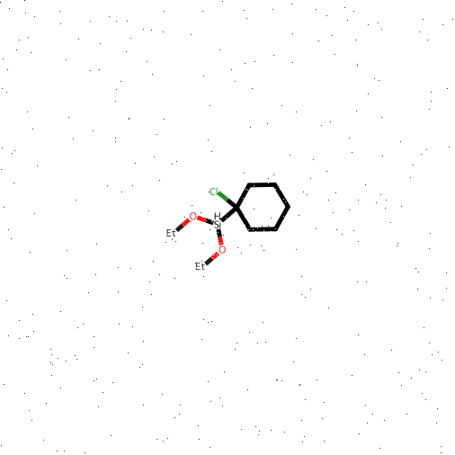 CCO[SiH](OCC)C1(Cl)CCCCC1